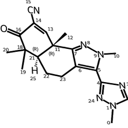 Cn1cnc(-c2c3c(nn2C)[C@@]2(C)C=C(C#N)C(=O)C(C)(C)[C@@H]2CC3)n1